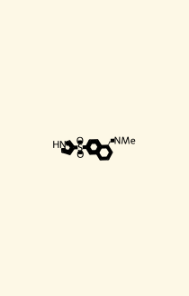 CNC[C@@H]1CCCc2cc(S(=O)(=O)c3cc[nH]c3)ccc21